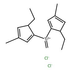 [CH2]=[Ti+2]([C]1=CC(C)=CC1CC)[C]1=CC(C)=CC1CC.[Cl-].[Cl-]